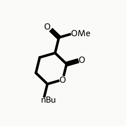 CCCCC1CCC(C(=O)OC)C(=O)O1